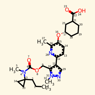 CCCC1(N(C)C(=O)OCc2c(-c3ccc(O[C@H]4CCCC(C(=O)O)C4)c(C)n3)cnn2C)CC1